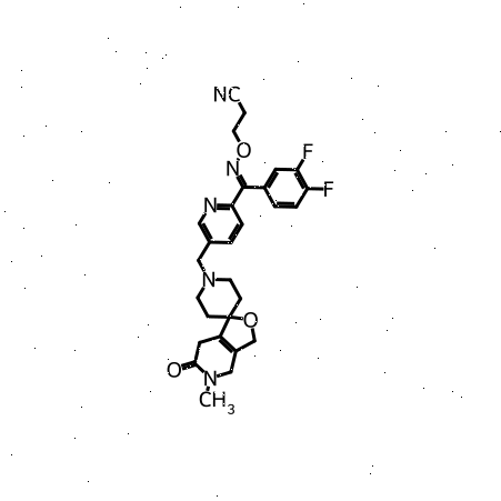 CN1CC2=C(CC1=O)C1(CCN(Cc3ccc(C(=NOCCC#N)c4ccc(F)c(F)c4)nc3)CC1)OC2